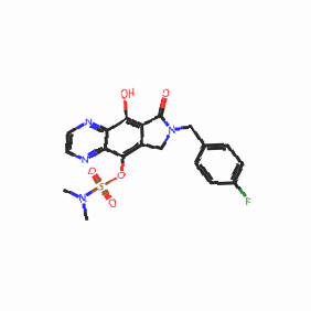 CN(C)S(=O)(=O)Oc1c2c(c(O)c3nccnc13)C(=O)N(Cc1ccc(F)cc1)C2